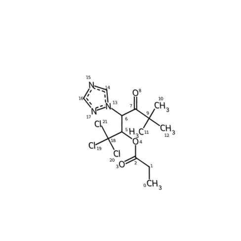 CCC(=O)OC(C(C(=O)C(C)(C)C)n1cncn1)C(Cl)(Cl)Cl